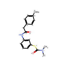 CCN(C)C(=O)Sc1cccc(NC(=O)Cc2ccc(OC)cc2)c1